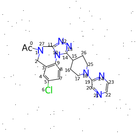 CC(=O)N1Cc2cc(Cl)ccc2-n2c(nnc2C2CCN(c3cnccn3)CC2)C1